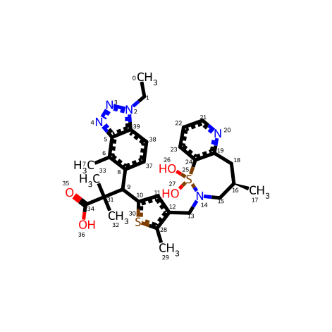 CCn1nnc2c(C)c(C(c3cc(CN4C[C@H](C)Cc5ncccc5S4(O)O)c(C)s3)C(C)(C)C(=O)O)ccc21